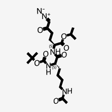 CC(=O)NCCCC[C@H](NC(=O)OC(C)(C)C)C(=O)N[C@@H](CCC(=O)C=[N+]=[N-])C(=O)OC(C)C